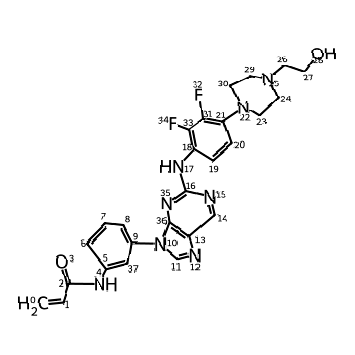 C=CC(=O)Nc1cccc(-n2cnc3cnc(Nc4ccc(N5CCN(CCO)CC5)c(F)c4F)nc32)c1